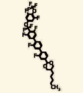 CCCCCC1COC(c2ccc(-c3ccc(-c4cc(F)c(C(F)(F)Oc5cc(F)c(OC(F)(F)F)c(F)c5)c(F)c4)c(F)c3)c(F)c2)OC1